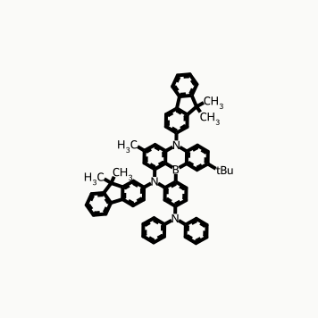 Cc1cc2c3c(c1)N(c1ccc4c(c1)C(C)(C)c1ccccc1-4)c1cc(N(c4ccccc4)c4ccccc4)ccc1B3c1cc(C(C)(C)C)ccc1N2c1ccc2c(c1)C(C)(C)c1ccccc1-2